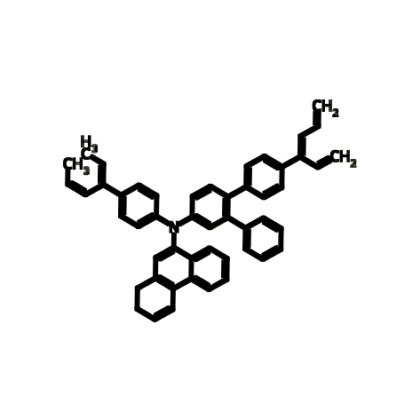 C=C/C=C(\C=C)c1ccc(-c2ccc(N(c3ccc(C(/C=C\C)=C/C)cc3)c3cc4c(c5ccccc35)C=CCC4)cc2-c2ccccc2)cc1